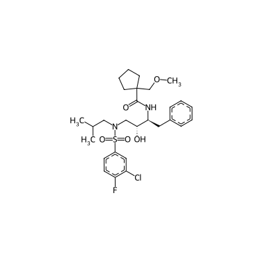 COCC1(C(=O)N[C@@H](Cc2ccccc2)[C@H](O)CN(CC(C)C)S(=O)(=O)c2ccc(F)c(Cl)c2)CCCC1